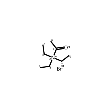 CC[N+](CC)(CC)C(C)=O.[Br-]